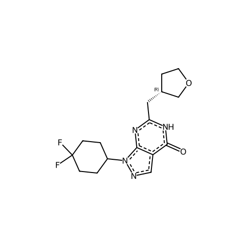 O=c1[nH]c(C[C@@H]2CCOC2)nc2c1cnn2C1CCC(F)(F)CC1